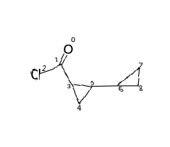 O=C(Cl)C1CC1C1CC1